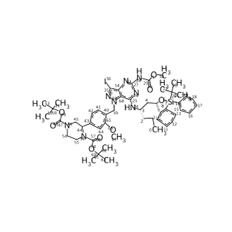 CCC[C@@H](CCO[Si](c1ccccc1)(c1ccccc1)C(C)(C)C)Nc1nc(NC(=O)OC)nc2c(I)nn(Cc3ccc(C4CN(C(=O)OC(C)(C)C)CCN4C(=O)OC(C)(C)C)cc3OC)c12